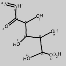 [N-]=[NH+]C(=O)C(O)C(O)C(O)C(O)C(=O)O